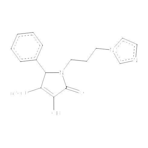 CCCCCC1=C(O)C(=O)N(CCCn2ccnc2)C1c1ccccc1